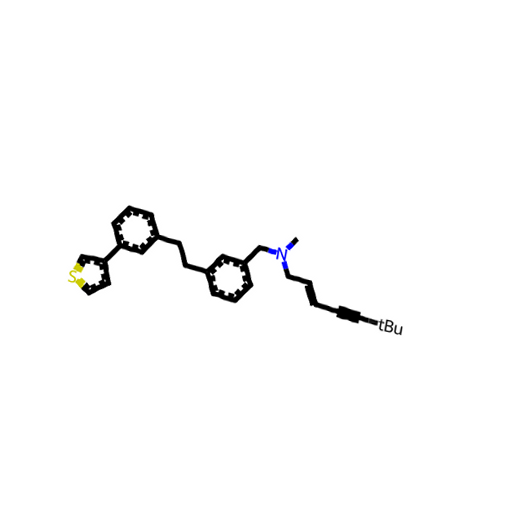 CN(CC=CC#CC(C)(C)C)Cc1cccc(CCc2cccc(-c3ccsc3)c2)c1